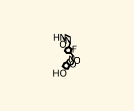 O=C1NCCN1Cc1cccc(CN2Cc3ccc(O)cc3OC2=O)c1F